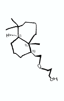 CC1(C)CCC[C@]2(C)[C@@H](COCO)CCC[C@@H]12